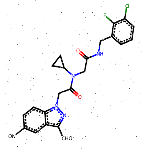 O=Cc1nn(CC(=O)N(CC(=O)NCc2cccc(Cl)c2F)C2CC2)c2ccc(N=O)cc12